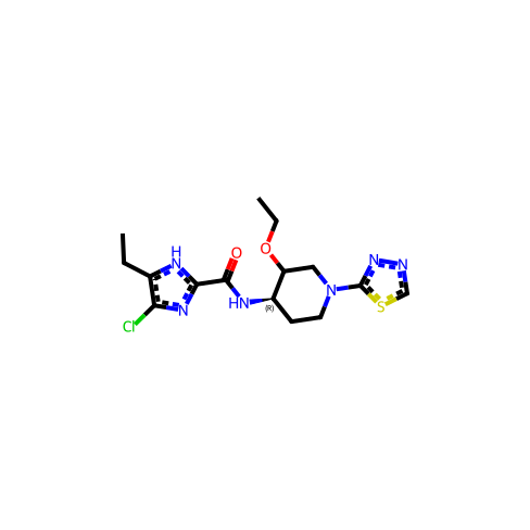 CCOC1CN(c2nncs2)CC[C@H]1NC(=O)c1nc(Cl)c(CC)[nH]1